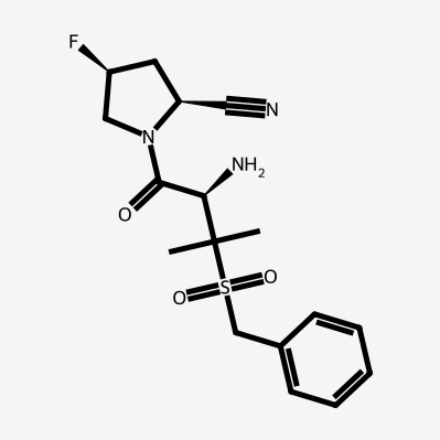 CC(C)([C@H](N)C(=O)N1C[C@@H](F)C[C@H]1C#N)S(=O)(=O)Cc1ccccc1